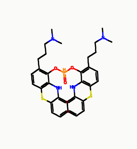 CN(C)CCCc1ccc2c(c1O[PH](=O)Oc1c(CCCN(C)C)ccc3c1Nc1ccccc1S3)Nc1ccccc1S2